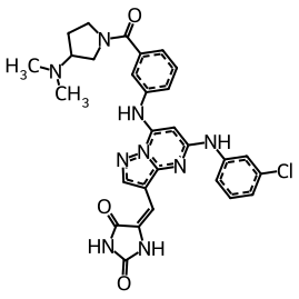 CN(C)C1CCN(C(=O)c2cccc(Nc3cc(Nc4cccc(Cl)c4)nc4c(/C=C5/NC(=O)NC5=O)cnn34)c2)C1